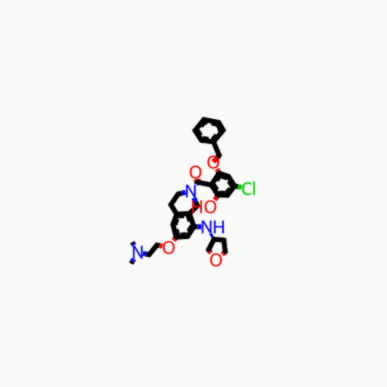 CN(C)CCOc1cc2c(c(N[C@H]3CCOC3)c1)CN(C(=O)c1c(O)cc(Cl)cc1OCc1ccccc1)CC2